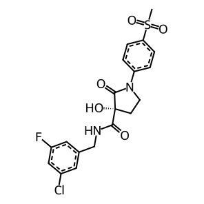 CS(=O)(=O)c1ccc(N2CC[C@@](O)(C(=O)NCc3cc(F)cc(Cl)c3)C2=O)cc1